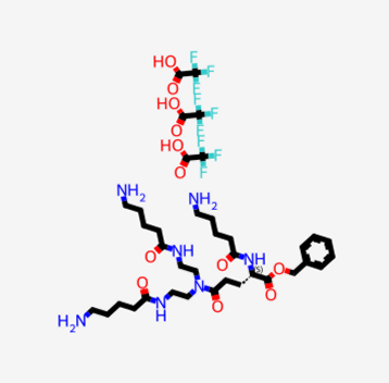 NCCCCC(=O)NCCN(CCNC(=O)CCCCN)C(=O)CC[C@H](NC(=O)CCCCN)C(=O)OCc1ccccc1.O=C(O)C(F)(F)F.O=C(O)C(F)(F)F.O=C(O)C(F)(F)F